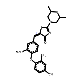 COc1cc(/C=C2/SC(N3CC(C)OC(C)C3)=NC2=O)ccc1Oc1ccc(C#N)cc1C(F)(F)F